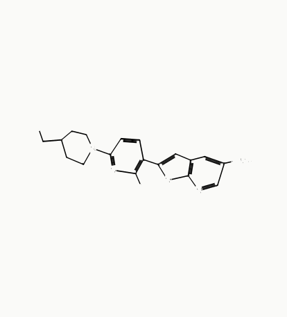 COc1cnc2[nH]c(-c3ccc(N4CCC(CO)CC4)nc3F)cc2c1